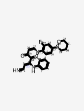 N=C/C=C(\Nc1ccccc1)c1nn(-c2ccc(N3CCCCO3)cc2F)ccc1=O